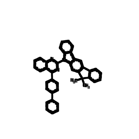 CC1(C)c2ccccc2-c2cc3c4ccccc4n(-c4nc(-c5ccc(-c6ccccc6)cc5)c5ccccc5n4)c3cc21